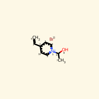 C=Cc1cc[n+](C(C)O)cc1.[Br-]